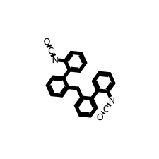 O=C=Nc1ccccc1-c1ccccc1Cc1ccccc1-c1ccccc1N=C=O